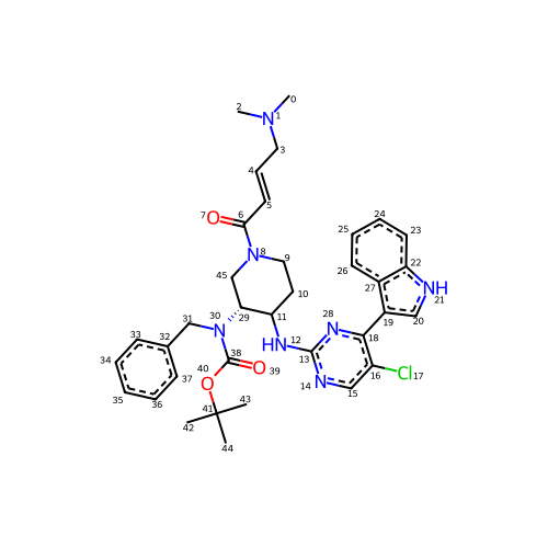 CN(C)C/C=C/C(=O)N1CCC(Nc2ncc(Cl)c(-c3c[nH]c4ccccc34)n2)[C@H](N(Cc2ccccc2)C(=O)OC(C)(C)C)C1